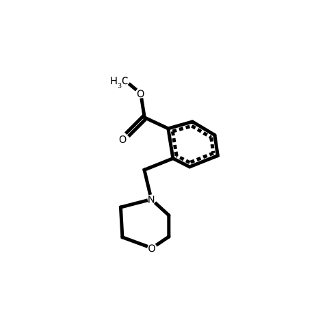 COC(=O)c1ccccc1CN1CCOCC1